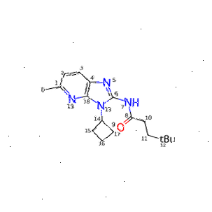 Cc1ccc2nc(NC(=O)CCC(C)(C)C)n(C3CCC3)c2n1